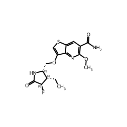 CC[C@H]1[C@@H](COc2csc3cc(C(N)=O)c(OC)nc23)NC(=O)[C@@H]1F